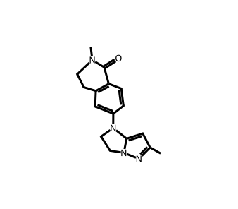 Cc1cc2n(n1)CCN2c1ccc2c(c1)CCN(C)C2=O